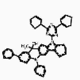 CC1(C)c2cc(-c3ccccc3)ccc2N(c2ccccc2)c2cc3c4ccccc4n(-c4nc(C5=CCCC=C5)nc(C5C=CC=CC5)n4)c3cc21